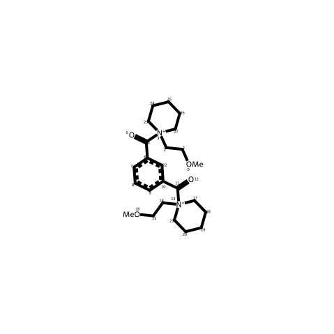 COCC[N+]1(C(=O)c2cccc(C(=O)[N+]3(CCOC)CCCCC3)c2)CCCCC1